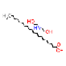 CCCCCCCCCC=CC=CC=CC=CC=CC(=O)O.OCCNCCO